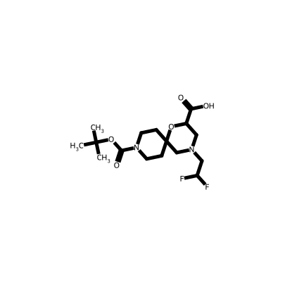 CC(C)(C)OC(=O)N1CCC2(CC1)CN(CC(F)F)CC(C(=O)O)O2